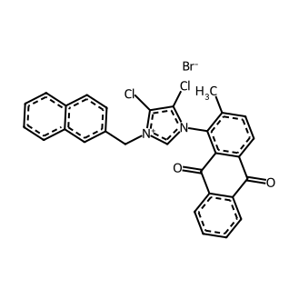 Cc1ccc2c(c1-n1c[n+](Cc3ccc4ccccc4c3)c(Cl)c1Cl)C(=O)c1ccccc1C2=O.[Br-]